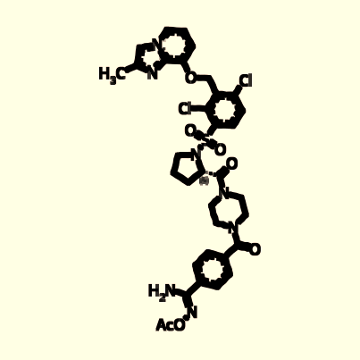 CC(=O)ON=C(N)c1ccc(C(=O)N2CCN(C(=O)[C@@H]3CCCN3S(=O)(=O)c3ccc(Cl)c(COc4cccn5cc(C)nc45)c3Cl)CC2)cc1